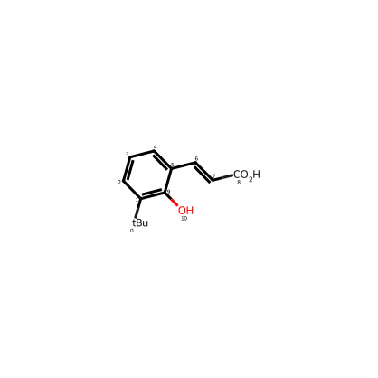 CC(C)(C)c1cccc(C=CC(=O)O)c1O